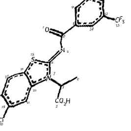 CC(C(=O)O)n1c(=NC(=O)c2cccc(C(F)(F)F)c2)sc2ccc(Cl)cc21